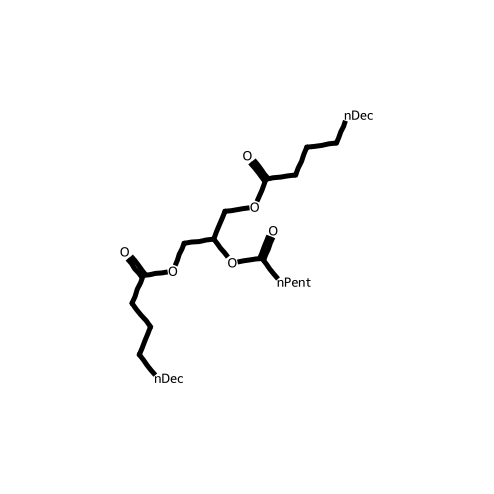 CCCCCCCCCCCCCC(=O)OCC(COC(=O)CCCCCCCCCCCCC)OC(=O)CCCCC